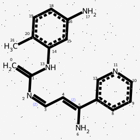 C=C(/N=C\C=C(/N)c1cccnc1)Nc1cc(N)ccc1C